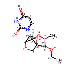 CC[C@]12COC([C@H](n3ccc(=O)[nH]c3=O)O1)[C@H]2OP(C)COCC#N